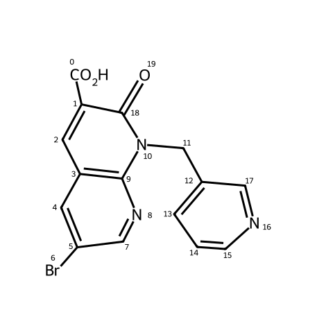 O=C(O)c1cc2cc(Br)cnc2n(Cc2cccnc2)c1=O